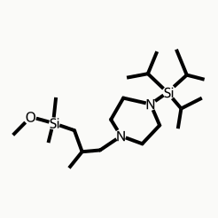 CO[Si](C)(C)CC(C)CN1CCN([Si](C(C)C)(C(C)C)C(C)C)CC1